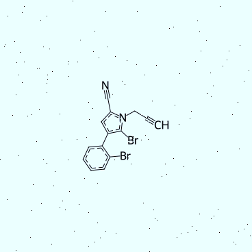 C#CCn1c(C#N)cc(-c2ccccc2Br)c1Br